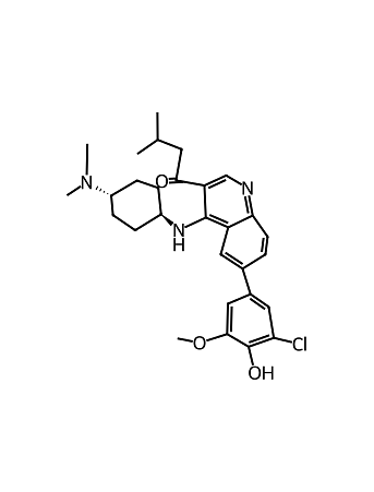 COc1cc(-c2ccc3ncc(C(=O)CC(C)C)c(N[C@H]4CC[C@H](N(C)C)CC4)c3c2)cc(Cl)c1O